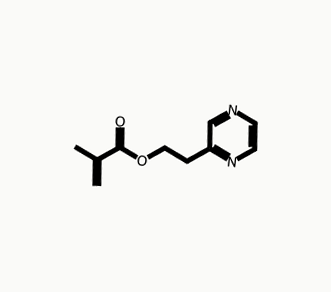 C=C(C)C(=O)OCCc1cnccn1